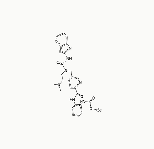 CN(C)CCN(Cc1ccc(C(=O)Nc2ccccc2NC(=O)OC(C)(C)C)nc1)C(=O)Nc1nc2ccccc2s1